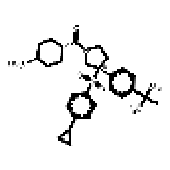 O=C(O)[C@H]1CC[C@H](C(=O)N2CC[C@](c3ccc(C(F)(C(F)(F)F)C(F)(F)F)cc3)(S(=O)(=O)c3ccc(C4CC4)cc3)C2)CC1